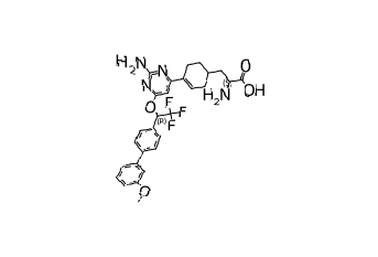 COc1cccc(-c2ccc([C@@H](Oc3cc(C4=CCC(C[C@H](N)C(=O)O)CC4)nc(N)n3)C(F)(F)F)cc2)c1